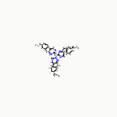 Cc1ccc2c(c1)Cc1nc(N(c3ncc4c(n3)Cc3cc(C)ccc3-4)c3ncc4c(n3)Cc3cc(C)ccc3-4)ncc1-2